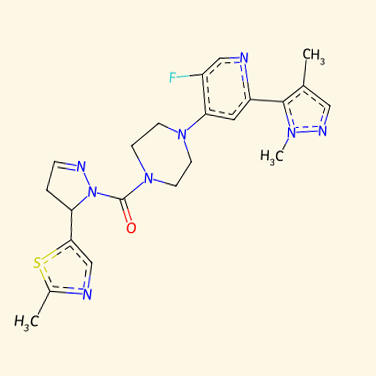 Cc1ncc(C2CC=NN2C(=O)N2CCN(c3cc(-c4c(C)cnn4C)ncc3F)CC2)s1